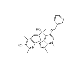 Cc1nc2c(c(C)c1C#N)C=C(C(C)(O)c1c(OCc3ccccc3)cc(C)c3c1ccn3C)C2